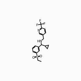 CCS(=O)(=O)c1cccc(C(NCc2ccc(C(F)(F)F)nc2)C2CC2)c1